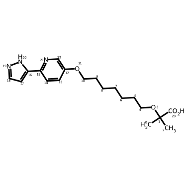 CC(C)(OCCCCCCCOc1ccc(-c2ccn[nH]2)nc1)C(=O)O